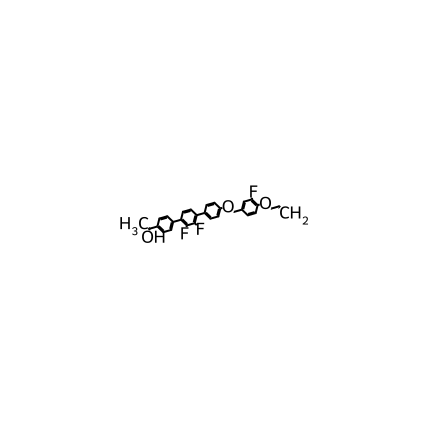 C=CCOc1ccc(COc2ccc(-c3ccc(-c4ccc(C(C)O)cc4)c(F)c3F)cc2)cc1F